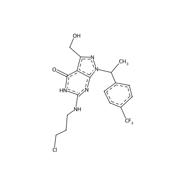 CC(c1ccc(C(F)(F)F)cc1)n1nc(CO)c2c(=O)[nH]c(NCCCCl)nc21